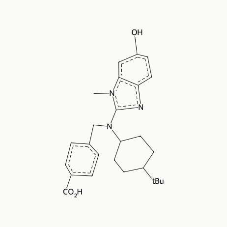 Cn1c(N(Cc2ccc(C(=O)O)cc2)C2CCC(C(C)(C)C)CC2)nc2ccc(O)cc21